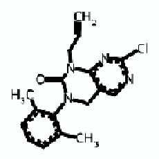 C=CCN1C(=O)N(c2c(C)cccc2C)Cc2cnc(Cl)nc21